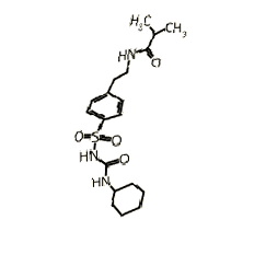 CC(C)C(=O)NCCc1ccc(S(=O)(=O)NC(=O)NC2CCCCC2)cc1